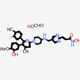 COc1ccc(-c2c(C#N)cc(N3CCC(NCc4cnc(/C=C/C(=O)NO)nc4)CC3)nc2-c2ccc(C#N)c(F)c2)cc1O.O=CO